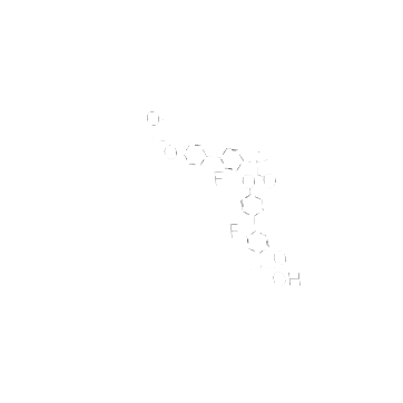 O=C(O)C1(c2ccc(-c3ccc(OC(=O)C4(c5ccc(-c6ccc(OC7CCOCC7)cc6)c(F)c5)CC4)cc3)c(F)c2)CC1